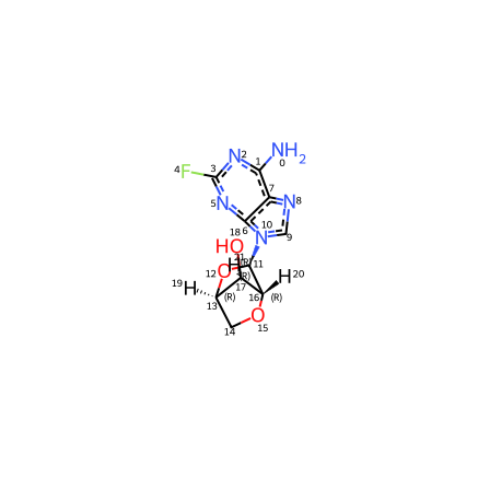 Nc1nc(F)nc2c1ncn2[C@@H]1O[C@@H]2CO[C@@H]1[C@@H]2O